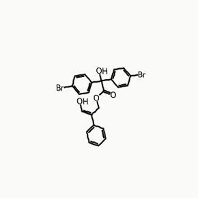 O=C(OCC(=CO)c1ccccc1)C(O)(c1ccc(Br)cc1)c1ccc(Br)cc1